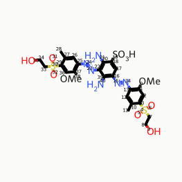 COc1cc(S(=O)(=O)CCO)c(C)cc1/N=N/c1cc(S(=O)(=O)O)c(N)c(/N=N/c2cc(C)c(S(=O)(=O)CCO)cc2OC)c1N